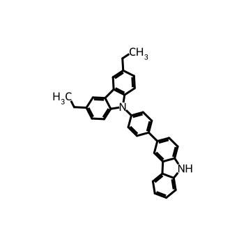 CCc1ccc2c(c1)c1cc(CC)ccc1n2-c1ccc(-c2ccc3[nH]c4ccccc4c3c2)cc1